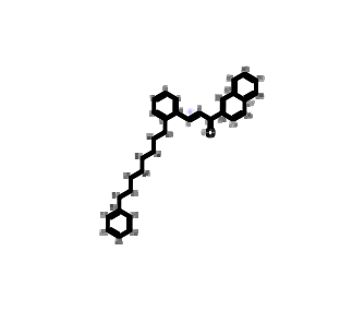 O=C(/C=C/c1ccccc1CCCCCCCCc1ccccc1)c1ccc2ccccc2c1